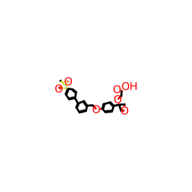 CS(=O)(=O)c1ccc(-c2cccc(COc3ccc(C4(OCC(=O)O)COC4)cc3)c2)cc1